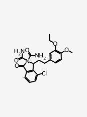 CCOc1cc(CCC2c3c([c]ccc3Cl)C(=O)[N+]2(C(N)=O)C(N)=O)ccc1OC